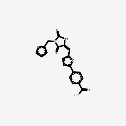 NC(=O)c1ccc(-c2ccc(/C=C3/NC(=O)N(Cc4ccco4)C3=O)o2)cc1